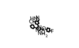 Nc1nc(-c2ccccc2)c(-c2cc(Cl)c3[nH]ncc3c2)nc1C(=O)Oc1ccc(F)cc1